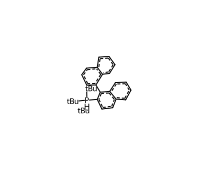 CC(C)(C)[PH](c1ccc2ccccc2c1-c1cccc2ccccc12)(C(C)(C)C)C(C)(C)C